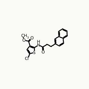 COC(=O)c1cc(Cl)sc1NC(=O)CCc1ccc2ccccc2c1